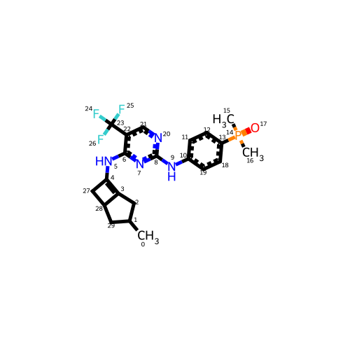 CC1CC2=C(Nc3nc(Nc4ccc(P(C)(C)=O)cc4)ncc3C(F)(F)F)CC2C1